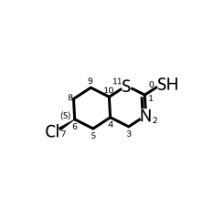 SC1=NCC2C[C@@H](Cl)CCC2S1